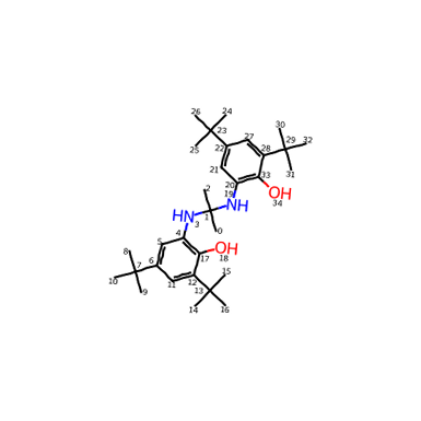 CC(C)(Nc1cc(C(C)(C)C)cc(C(C)(C)C)c1O)Nc1cc(C(C)(C)C)cc(C(C)(C)C)c1O